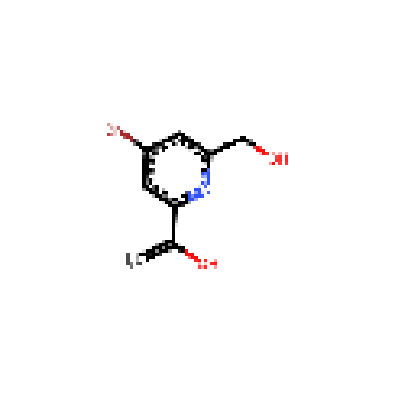 C=C(O)c1cc(Br)cc(CO)n1